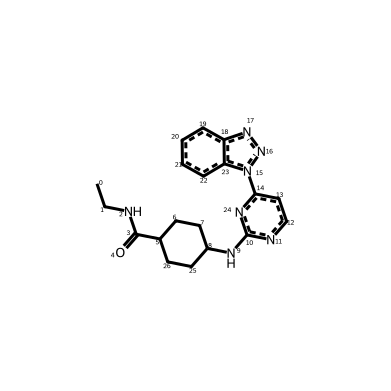 CCNC(=O)C1CCC(Nc2nccc(-n3nnc4ccccc43)n2)CC1